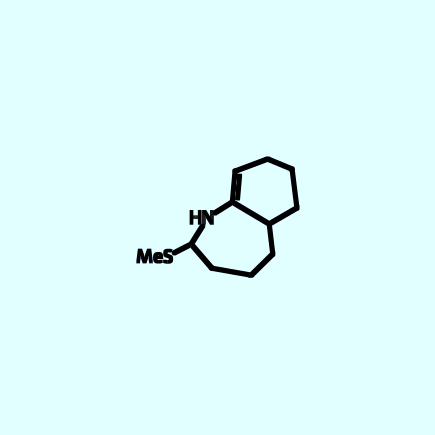 CSC1CCCC2CCCC=C2N1